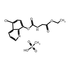 CCOC(=O)CNC(=O)Oc1ccc(Cl)c2cccnc12.CS(=O)(=O)O